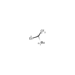 CCC([C@@H](C)CC)C(F)(F)F